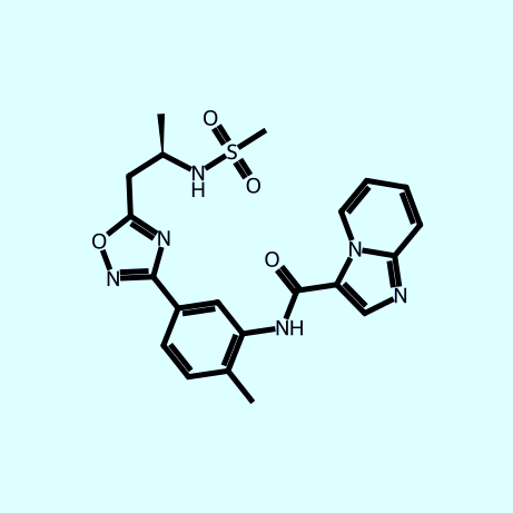 Cc1ccc(-c2noc(C[C@@H](C)NS(C)(=O)=O)n2)cc1NC(=O)c1cnc2ccccn12